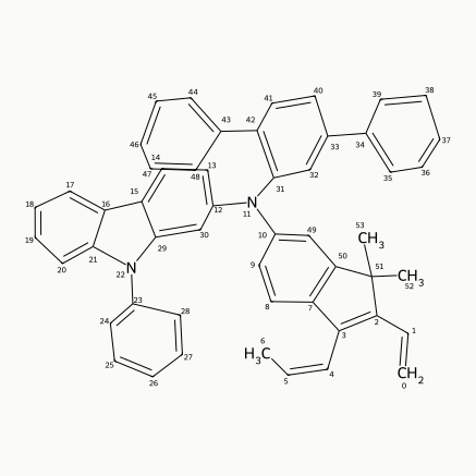 C=CC1=C(/C=C\C)c2ccc(N(c3ccc4c5ccccc5n(-c5ccccc5)c4c3)c3cc(-c4ccccc4)ccc3-c3ccccc3)cc2C1(C)C